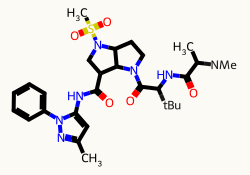 CNC(C)C(=O)NC(C(=O)N1CCC2C1C(C(=O)Nc1cc(C)nn1-c1ccccc1)CN2S(C)(=O)=O)C(C)(C)C